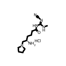 CN/C(=N/C#N)NC(=O)CCC[C@H](N)CN1CCCC1.Cl